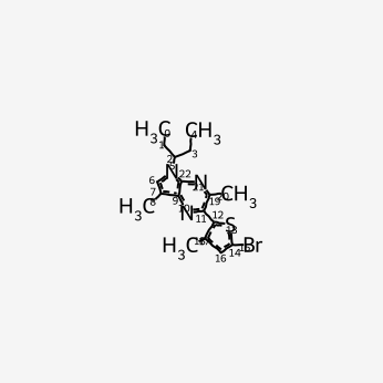 CCC(CC)n1cc(C)c2nc(-c3sc(Br)cc3C)c(C)nc21